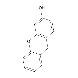 Oc1c[c]c2c(c1)Oc1ccccc1C2